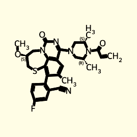 C=CC(=O)N1[C@H](C)CN(c2nc(=O)n3c4c(c(-c5ccc(F)cc5C#N)c(C)cc24)SC[C@@H](OC)C3)C[C@@H]1C